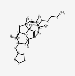 NCCCCCNC12C=C3/C=C(O)\C(O)=C/C1(O)C[C@H]1C(=O)N(CC4CCCO4)C[C@@H]3N12